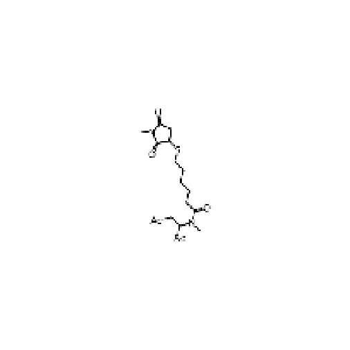 CC(=O)CC(C(C)=O)N(C)C(=O)CCCCCSC1CC(=O)N(C)C1=O